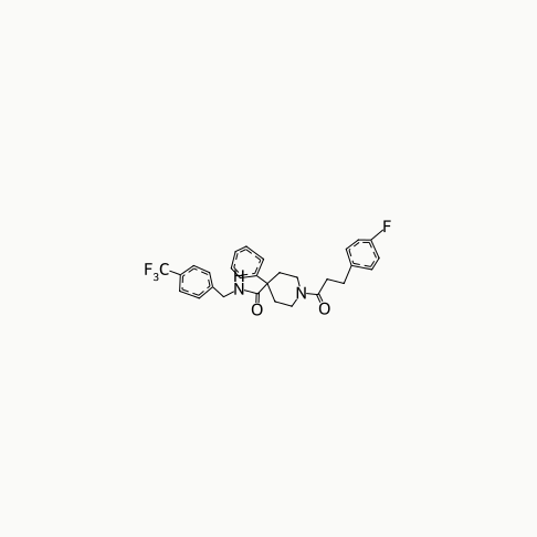 O=C(CCc1ccc(F)cc1)N1CCC(C(=O)NCc2ccc(C(F)(F)F)cc2)(c2ccccc2)CC1